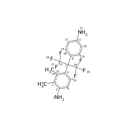 Cc1c(N)ccc(C(c2ccc(N)cc2)(C(F)(F)F)C(F)(F)F)c1C